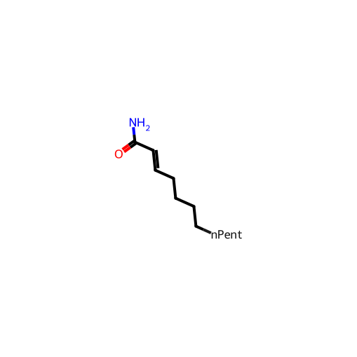 CCCCCCCCCC=CC(N)=O